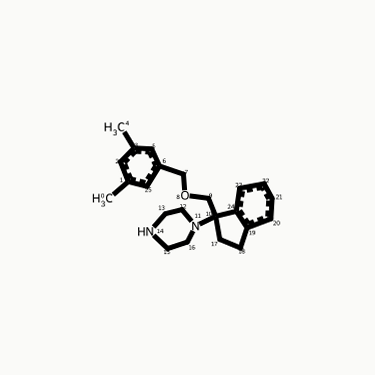 Cc1cc(C)cc(COCC2(N3CCNCC3)CCc3ccccc32)c1